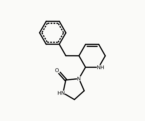 O=C1NCCN1C1NCC=CC1Cc1ccccc1